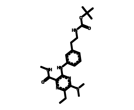 CCc1nc(C(=O)NC)c(Nc2cccc(CCNC(=O)OC(C)(C)C)c2)nc1N(C)C